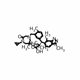 Cc1ccc([C@@H](c2ccc3c(nnn3C)c2C)C(C)(C)C(=O)O)cc1CN1CC(=O)N(C2CC2)CC(C)(C)C1